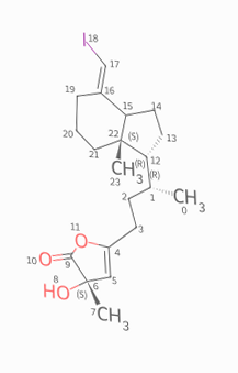 C[C@H](CCC1=C[C@](C)(O)C(=O)O1)[C@H]1CCC2C(=CI)CCC[C@]21C